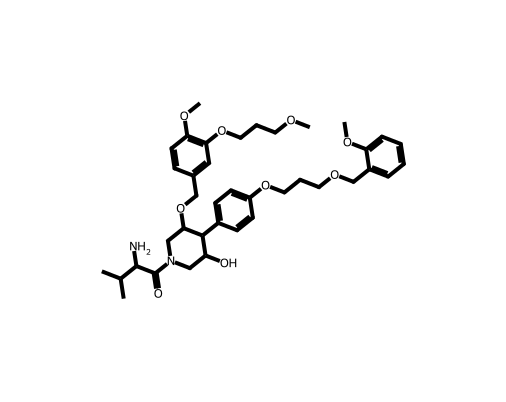 COCCCOc1cc(COC2CN(C(=O)C(N)C(C)C)CC(O)C2c2ccc(OCCCOCc3ccccc3OC)cc2)ccc1OC